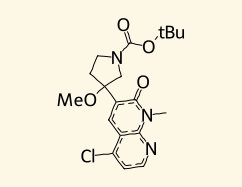 COC1(c2cc3c(Cl)ccnc3n(C)c2=O)CCN(C(=O)OC(C)(C)C)C1